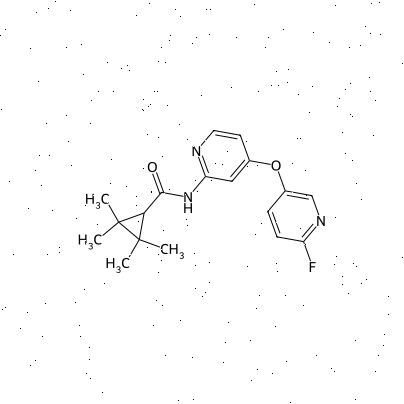 CC1(C)C(C(=O)Nc2cc(Oc3ccc(F)nc3)ccn2)C1(C)C